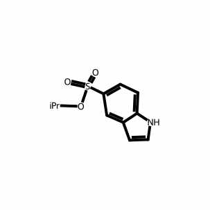 CC(C)OS(=O)(=O)c1ccc2[nH]ccc2c1